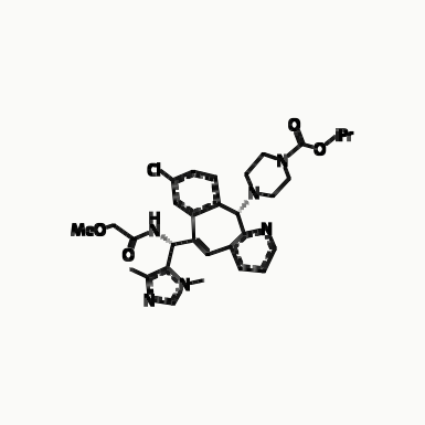 COCC(=O)N[C@H](C1=Cc2cccnc2[C@@H](N2CCN(C(=O)OC(C)C)CC2)c2ccc(Cl)cc21)c1c(C)ncn1C